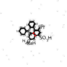 CC(C)c1cc(S(=O)(=O)O)cc(C(C)C)c1-c1ccccc1P(C1CCCCC1)C1CCCCC1.O.[NaH]